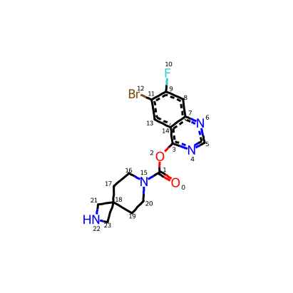 O=C(Oc1ncnc2cc(F)c(Br)cc12)N1CCC2(CC1)CNC2